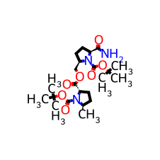 C[C@H]1CC[C@@H](C(=O)OC[C@H]2CC[C@@H](C(N)=O)N2C(=O)OC(C)(C)C)N1C(=O)OC(C)(C)C